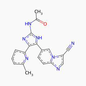 CC(=O)Nc1nc(-c2cccc(C)n2)c(-c2ccc3ncc(C#N)n3c2)[nH]1